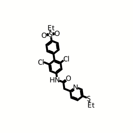 CCSc1ccc(CC(=O)Nc2cc(Cl)c(-c3ccc(S(=O)(=O)CC)cc3)c(Cl)c2)nc1